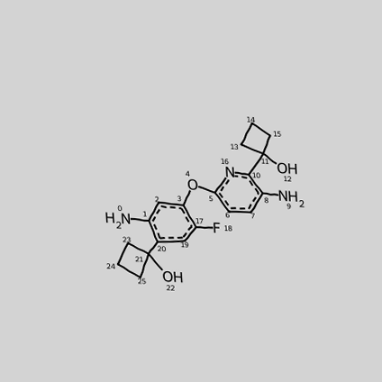 Nc1cc(Oc2ccc(N)c(C3(O)CCC3)n2)c(F)cc1C1(O)CCC1